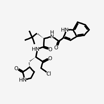 CC(C)(C)C[C@H](NC(=O)c1cc2ccccc2[nH]1)C(=O)N[C@@H](C[C@@H]1CCNC1=O)C(=O)CCl